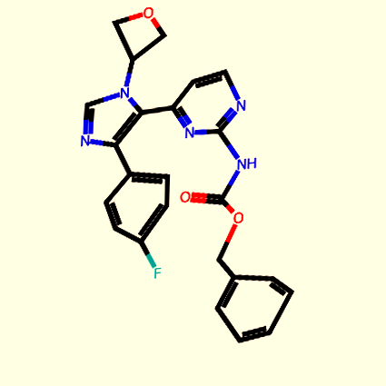 O=C(Nc1nccc(-c2c(-c3ccc(F)cc3)ncn2C2COC2)n1)OCc1ccccc1